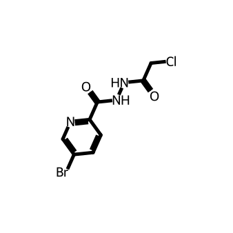 O=C(CCl)NNC(=O)c1ccc(Br)cn1